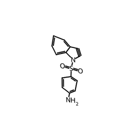 Nc1ccc(S(=O)(=O)n2c#cc3ccccc32)cc1